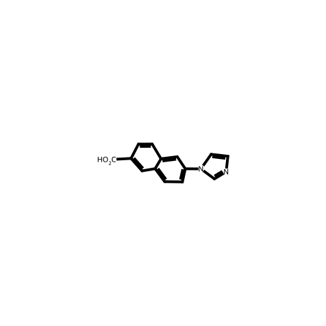 O=C(O)c1ccc2cc(-n3ccnc3)ccc2c1